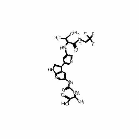 CC(NC(=O)Nc1cnc2[nH]cc(-c3cncc(NC(C(=O)NCC(F)(F)F)C(C)C)c3)c2c1)C(=O)O